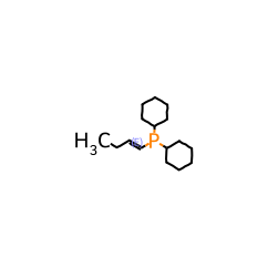 CC/C=C/P(C1CCCCC1)C1CCCCC1